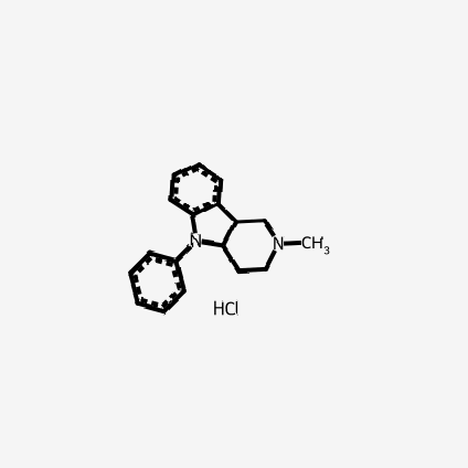 CN1CCC2C(C1)c1ccccc1N2c1ccccc1.Cl